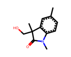 Cc1ccc2c(c1)C(C)(CO)C(=O)N2C